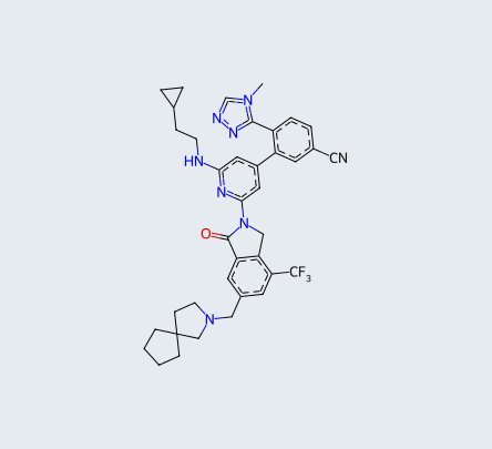 Cn1cnnc1-c1ccc(C#N)cc1-c1cc(NCCC2CC2)nc(N2Cc3c(cc(CN4CCC5(CCCC5)C4)cc3C(F)(F)F)C2=O)c1